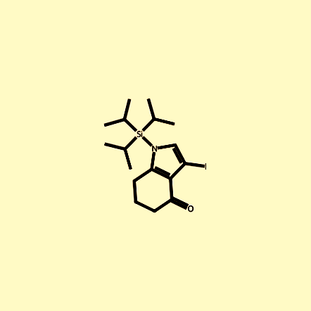 CC(C)[Si](C(C)C)(C(C)C)n1cc(I)c2c1CCCC2=O